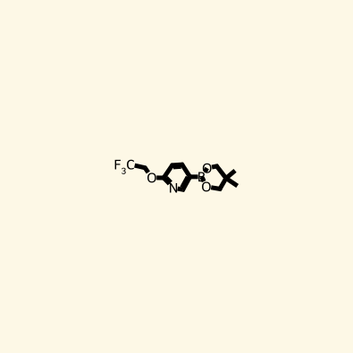 CC1(C)COB(c2ccc(OCC(F)(F)F)nc2)OC1